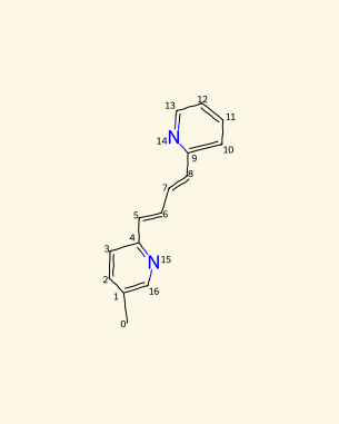 Cc1ccc(/C=C/C=C/c2ccccn2)nc1